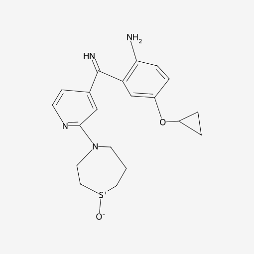 N=C(c1ccnc(N2CCC[S+]([O-])CC2)c1)c1cc(OC2CC2)ccc1N